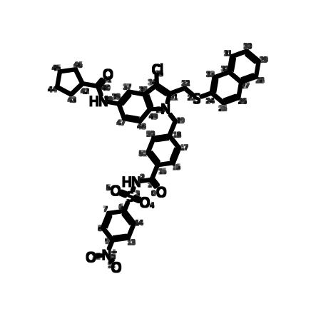 O=C(NS(=O)(=O)c1ccc([N+](=O)[O-])cc1)c1ccc(Cn2c(CSc3ccc4ccccc4c3)c(Cl)c3cc(NC(=O)C4CCCC4)ccc32)cc1